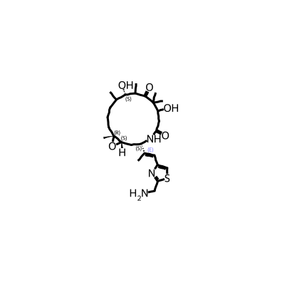 C/C(=C\c1csc(CN)n1)[C@@H]1C[C@@H]2O[C@]2(C)CCCC(C)[C@H](O)C(C)C(=O)C(C)(C)C(O)CC(=O)N1